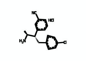 C[C@H](N)[C@@H](Cc1ccc(Cl)cc1)c1cccc(C#N)c1.Cl